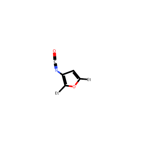 CCc1cc(N=C=O)c(CC)o1